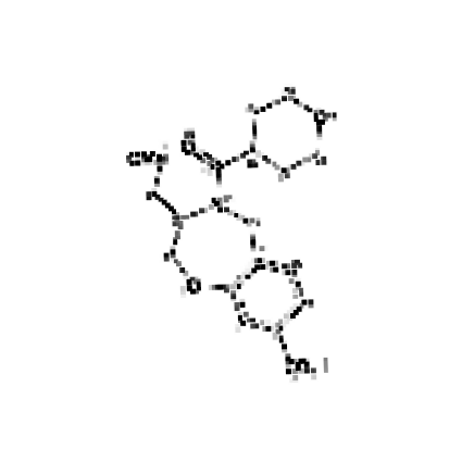 COCC1COc2cc(C(=O)O)ccc2CN1C(=O)C1CCOCC1